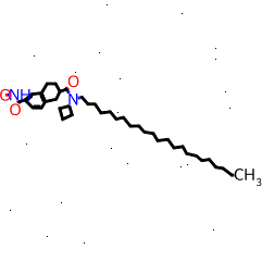 CCCCCCCCCCCCCCCCCCCCCCCN(C(=O)C1CCc2cc(C(=O)NO)ccc2C1)C1CCC1